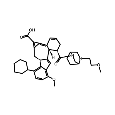 COCCN1CC2CCC1CN2C(=O)[C@@H]1CC=CC2=C3C(=C3C(=O)O)Cn3c(cc4c(OC)ccc(C5CCCCC5)c43)[C@H]21